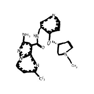 CN1CC[C@@H](Oc2ccncc2NC(=O)c2c(N)nn3ccc(C(F)(F)F)nc23)C1